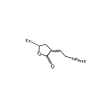 CCCCCCC=C1CC(CC)OC1=O